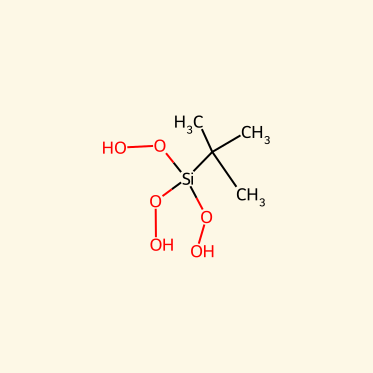 CC(C)(C)[Si](OO)(OO)OO